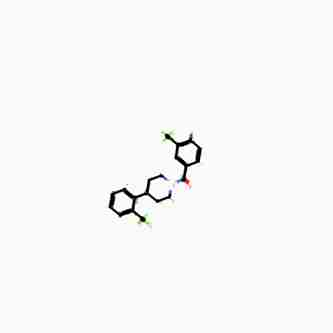 O=C(c1ccc(Cl)c(C(F)(F)F)c1)N1CCC(c2ccccc2C(F)(F)F)CC1